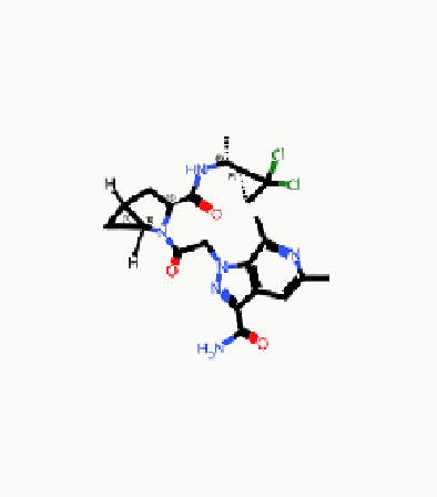 Cc1cc2c(C(N)=O)nn(CC(=O)N3[C@@H]4C[C@@H]4C[C@H]3C(=O)N[C@H](C)[C@H]3CC3(Cl)Cl)c2c(C)n1